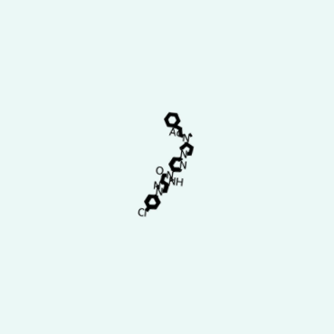 CC(=O)C1(CCN(C)C2CCN(c3ccc(-n4[nH]c5cn(-c6ccc(Cl)cc6)nc5c4=O)cn3)C2)CCCCC1